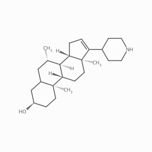 C[C@H]1CC2C[C@H](O)CC[C@]2(C)[C@H]2CC[C@]3(C)C(C4CCNCC4)=CC[C@H]3[C@H]12